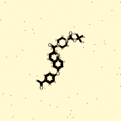 CC(=O)c1ccc(Oc2ccc3nc(C(=O)N4CCN(C(=O)OC(C)(C)C)CC4)ccc3c2)cc1